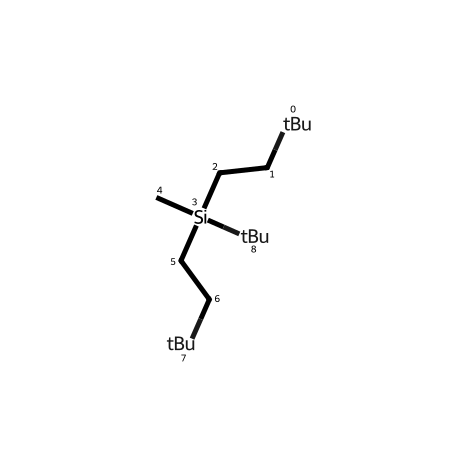 CC(C)(C)CC[Si](C)(CCC(C)(C)C)C(C)(C)C